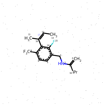 C=C(NCc1ccc(C(F)(F)F)c(/C(C)=C\C)c1F)C(C)C